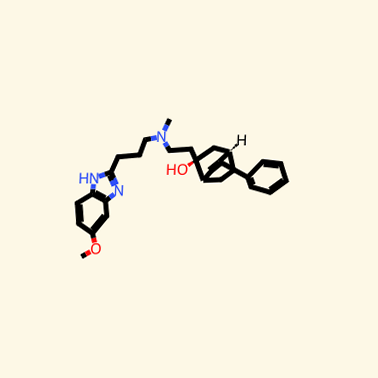 COc1ccc2[nH]c(CCCN(C)CC[C@]3(O)C[C@H]4CCC3C=C4c3ccccc3)nc2c1